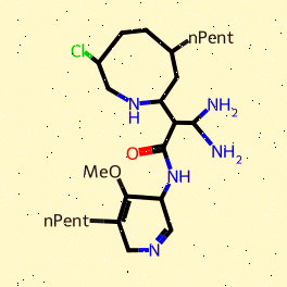 CCCCCC1=C(OC)C(NC(=O)C(C(N)N)C2CC(CCCCC)CCC(Cl)CN2)C=NC1